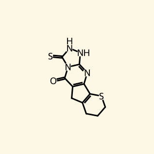 O=c1c2c(nc3[nH][nH]c(=S)n13)C1=C(CCCS1)C2